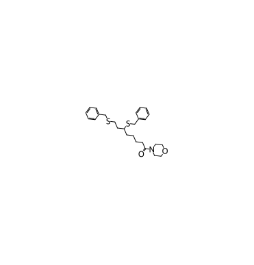 O=C(CCCCC(CCSCc1ccccc1)SCc1ccccc1)N1CCOCC1